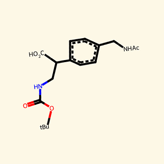 CC(=O)NCc1ccc(C(CNC(=O)OC(C)(C)C)C(=O)O)cc1